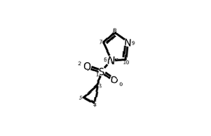 O=S(=O)(C1CC1)n1ccnc1